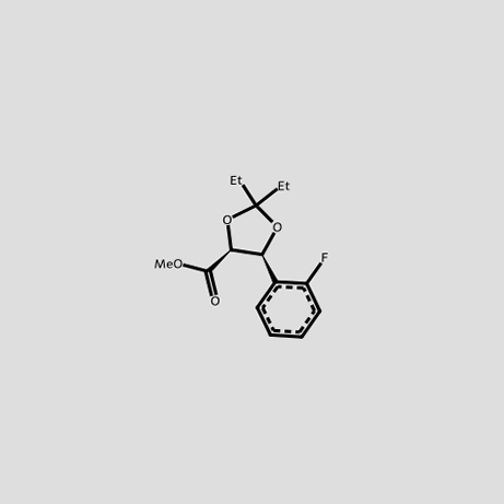 CCC1(CC)O[C@H](C(=O)OC)[C@H](c2ccccc2F)O1